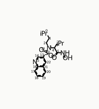 CC(C)CCN(C(C(=O)NO)C(C)C)S(=O)(=O)c1cnc2ccccc2c1